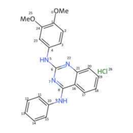 COc1ccc(Nc2nc(Nc3ccccc3)c3ccccc3n2)cc1OC.Cl